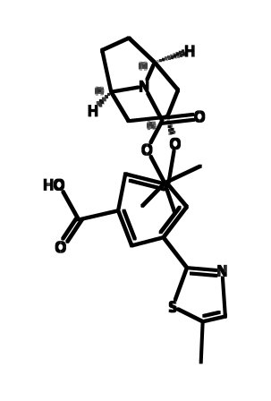 Cc1cnc(-c2cc(O[C@@H]3C[C@H]4CC[C@@H](C3)N4C(=O)OC(C)(C)C)cc(C(=O)O)c2)s1